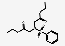 CCOC(=O)CN(CC(=O)OCC)S(=O)(=O)c1[c]cccc1